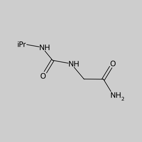 CC(C)NC(=O)NCC(N)=O